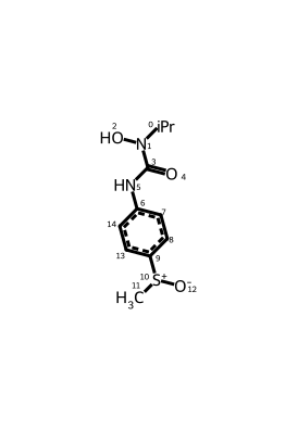 CC(C)N(O)C(=O)Nc1ccc([S+](C)[O-])cc1